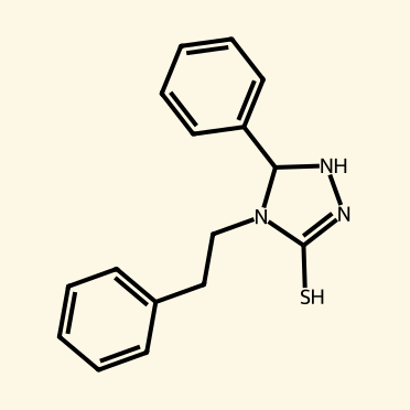 SC1=NNC(c2ccccc2)N1CCc1ccccc1